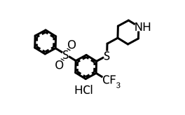 Cl.O=S(=O)(c1ccccc1)c1ccc(C(F)(F)F)c(SCC2CCNCC2)c1